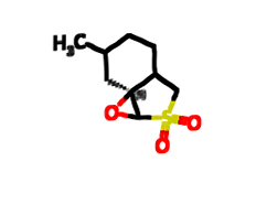 CC1CCC2CS(=O)(=O)C3O[C@@]23C1